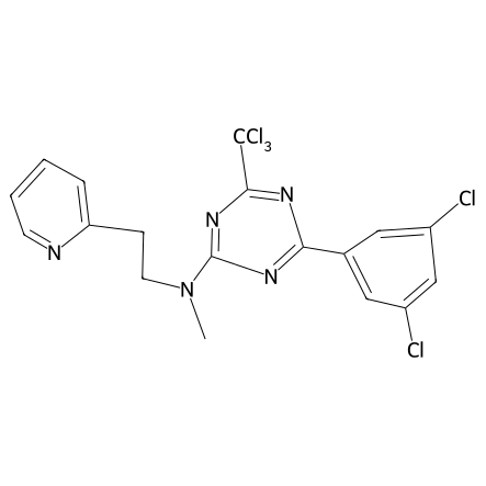 CN(CCc1ccccn1)c1nc(-c2cc(Cl)cc(Cl)c2)nc(C(Cl)(Cl)Cl)n1